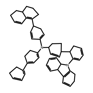 C1=CCCC(C2=CC=C(N(C3=CCC(C4=C5C=CCCC5CCC4)C=C3)C3C=CC(C4CC=CC=C4N4C5=C(C=CCC5)C5C=CC=CC54)CC3)CC2)=C1